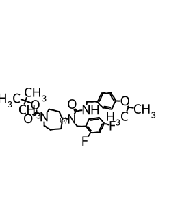 CC(C)Oc1ccc(CNC(=O)N(Cc2ccc(F)cc2F)[C@H]2CCCN(C(=O)OC(C)(C)C)CC2)cc1